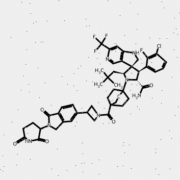 CC(C)(C)C[C@@H]1N(C23CCC(C(=O)N4CC(c5ccc6c(c5)CN(C5CCC(=O)NC5=O)C6=O)C4)(CC2)CC3)[C@@H](C(N)=O)[C@H](c2cccc(Cl)c2F)[C@]12CNc1cc(C(F)(F)F)ncc12